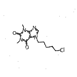 Cn1c(=O)c2c(ncn2CCCCCCl)n(C)c1=O